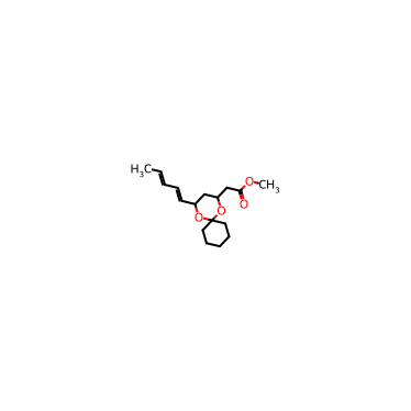 C/C=C/C=C/C1CC(CC(=O)OC)OC2(CCCCC2)O1